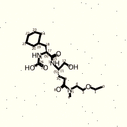 CCOCCN(C)C(=O)CC[C@@H](CO)NC(=O)[C@H](CC1CCCCC1)NC(=O)O